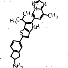 Cc1cc(-c2[nH]c3cc(-c4ccc5c(c4)CC(N)C5)sc3c2C(C)C)cn2ncnc12